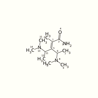 CC(C(N)=O)=C(C(C)N(C)C)C(C)N(C)C